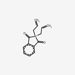 C=CC[N+]1(CC=C)C(=O)c2ccccc2C1=O